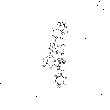 CC(=O)O[C@H]1CC[C@@]2(C)C(CC[C@]3(C)C2CC=C2C4CC(C)(C)CC[C@]4(C(=O)OCc4ccccc4)CC[C@]23C)C1(C)C